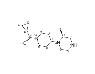 C[C@H]1CNCCN1C1CCN(C(=O)C2CC2)CC1